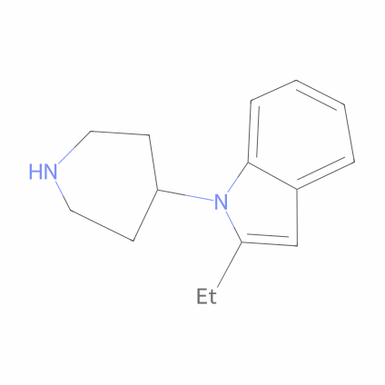 CCc1cc2ccccc2n1C1CCNCC1